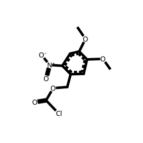 COc1cc(COC(=O)Cl)c([N+](=O)[O-])cc1OC